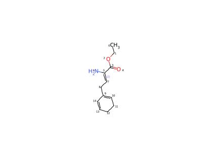 CCOC(=O)/C(N)=C/CC1=CCCC=C1